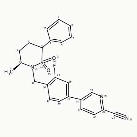 C[C@H]1CCC(c2ccccc2)S(=O)(=O)N1Cc1ccc(-c2ccc(C#N)nc2)cc1F